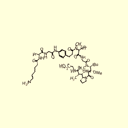 CC[C@H](C)[C@@H]([C@@H](CC(=O)N1CCC[C@H]1[C@H](OC)[C@@H](C)C(=O)NCC(=O)O)OC)N(C)C(=O)CNC(=O)C(C(C)C)N(C)C(=O)CCc1ccc(NC(=O)CNC(=O)C(NC(=O)CCCCCN)C(C)C)cc1